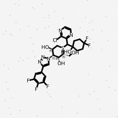 OC[C@@H]1[C@H](O)[C@@H](n2cc(-c3cc(F)c(F)c(F)c3)nn2)[C@@H](O)C[SH]1C(c1nccnc1Cl)C1(O)CCC(F)(F)CC1